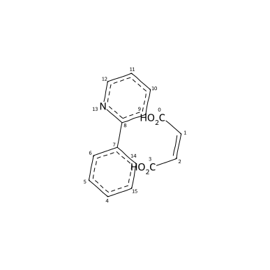 O=C(O)/C=C\C(=O)O.c1ccc(-c2ccccn2)cc1